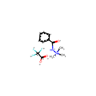 C[N+](C)(C)NC(=O)c1ccccc1.O=C([O-])C(F)(F)F